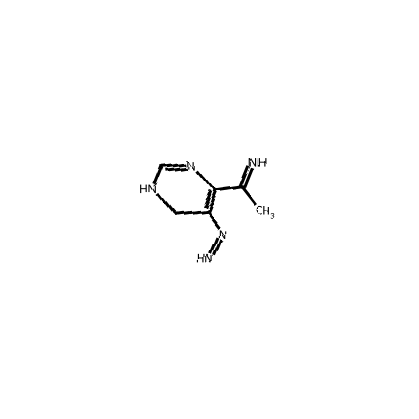 CC(=N)C1=C(N=N)CNC=N1